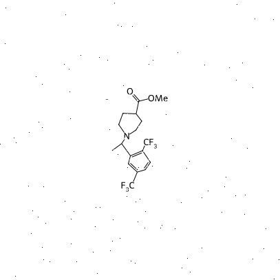 COC(=O)C1CCN(C(C)c2cc(C(F)(F)F)ccc2C(F)(F)F)CC1